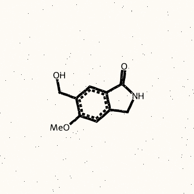 COc1cc2c(cc1CO)C(=O)NC2